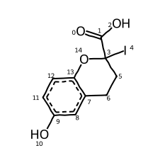 O=C(O)C1(I)CCc2cc(O)ccc2O1